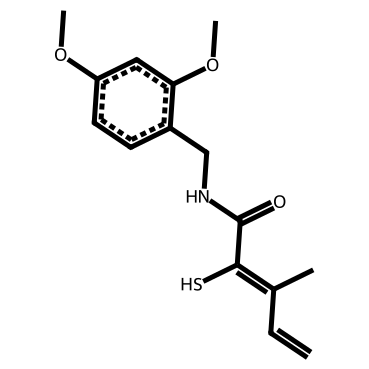 C=C/C(C)=C(\S)C(=O)NCc1ccc(OC)cc1OC